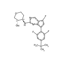 CC(C)(C)c1cc(F)c(-c2cc(F)c3cnc(N[C@@H]4CCOC[C@H]4O)nn23)c(F)c1